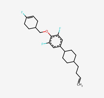 C=CCCC1CCC(c2cc(F)c(OCC3CC=C(F)CC3)c(F)c2)CC1